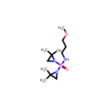 COCCCNP(=O)(N1CC1(C)C)N1CC1(C)C